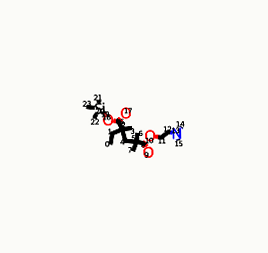 CCC(C)(CC(C)(C)C(=O)OCCN(C)C)C(=O)OC[Si](C)(C)C